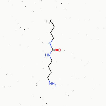 CCCC[N]C(=O)NCCCCN